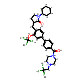 O=C(c1ccc(-c2ccc(CC3CCN(C4CCCCC4)C3=O)c(OC(F)(F)F)c2)cc1)N1CCN(CC(F)(F)F)CC1